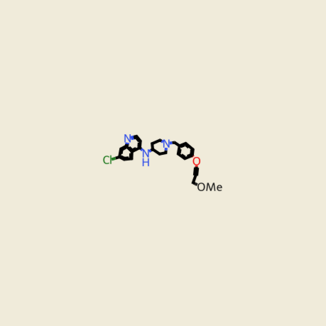 COCC#COc1ccc(CN2CCC(Nc3ccnc4cc(Cl)ccc34)CC2)cc1